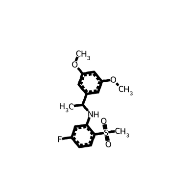 COc1cc(OC)cc(C(C)Nc2cc(F)ccc2S(C)(=O)=O)c1